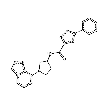 O=C(N[C@H]1CCN(c2nccn3ccnc23)C1)c1ncn(-c2ccccc2)n1